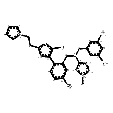 CCc1sc(CCn2cccc2)nc1-c1ccc(C(F)(F)F)cc1CN(Cc1cc(C(F)(F)F)cc(C(F)(F)F)c1)c1nnn(C)n1